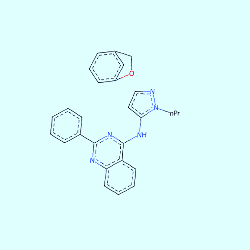 CCCn1nccc1Nc1nc(-c2ccccc2)nc2ccccc12.c1cc2cc(c1)OC2